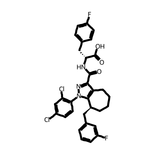 O=C(N[C@H](Cc1ccc(F)cc1)C(=O)O)c1nn(-c2ccc(Cl)cc2Cl)c2c1CCCC[C@H]2Cc1cccc(F)c1